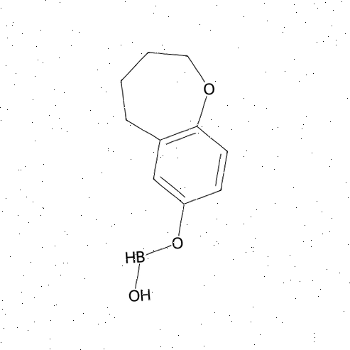 OBOc1ccc2c(c1)CCCCO2